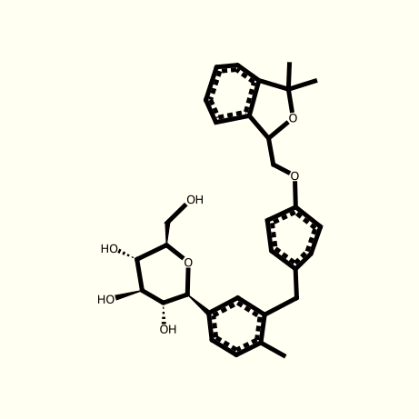 Cc1ccc([C@@H]2O[C@H](CO)[C@@H](O)[C@H](O)[C@H]2O)cc1Cc1ccc(OCC2OC(C)(C)c3ccccc32)cc1